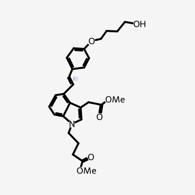 COC(=O)CCCn1cc(CC(=O)OC)c2c(/C=C/c3ccc(OCCCCO)cc3)cccc21